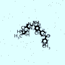 Cc1cc(Nc2nc(N(N)c3cc(C)c(C4CCN(C(=O)C5CCN(C)CC5)CC4)cc3F)ncc2Cl)n[nH]1